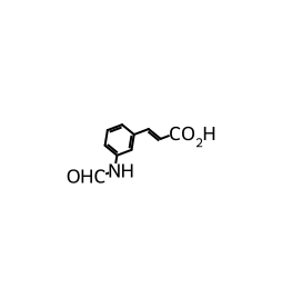 O=CNc1cccc(C=CC(=O)O)c1